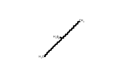 CCCCCCCCCCCCCCCCCCC(CCCCCCCCCCCCCCCCCC)COC